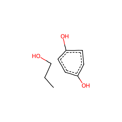 CCCO.Oc1ccc(O)cc1